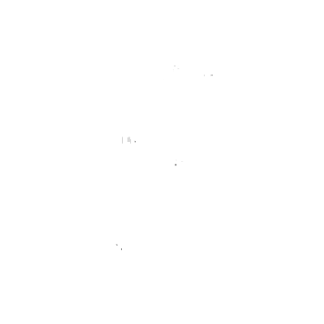 CC(C)c1c(-c2ccc3c(O)noc3c2)[nH]c2ccc(C3CCNCC3)cc12